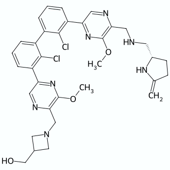 C=C1CC[C@@H](CNCc2ncc(-c3cccc(-c4cccc(-c5cnc(CN6CC(CO)C6)c(OC)n5)c4Cl)c3Cl)nc2OC)N1